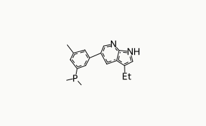 CCc1c[nH]c2ncc(-c3cc(C)cc(P(C)C)c3)cc12